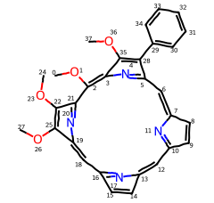 COC1=C2N=C(C=C3C=CC(=N3)C=C3C=CC(=N3)C=C3N=C1C(OC)=C3OC)C(c1ccccc1)=C2OC